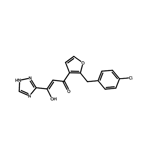 O=C(C=C(O)c1nc[nH]n1)c1ccoc1Cc1ccc(Cl)cc1